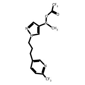 CN(OC(=O)C(F)(F)F)c1cnn(CCCc2ccc(C(F)(F)F)nc2)c1